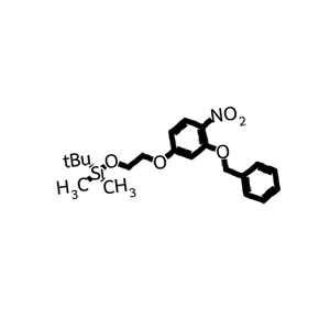 CC(C)(C)[Si](C)(C)OCCOc1ccc([N+](=O)[O-])c(OCc2ccccc2)c1